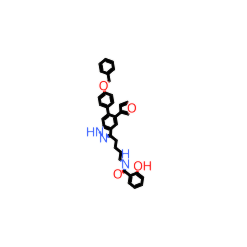 O=C(NCCCCc1n[nH]c2cc(-c3ccc(OCc4ccccc4)cc3)c(-c3ccoc3)cc12)c1ccccc1O